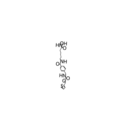 O=C(CCCCCNC(=O)c1ccc(CNC(=O)OCc2cccs2)cc1)NO